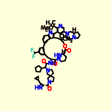 CCn1c(-c2cc(N3CCN4CCC[C@@H]4C3)cnc2[C@H](C)OC)c2c3cc(ccc31)-c1cc(cc(C(F)F)c1)C[C@H](NC(=O)C(C1CCCC1)N1CC[C@]3(CCN(C(=O)[C@@H]4NC4C4CC4)C3)C1)C(=O)N1CCC[C@H](N1)C(=O)OCC(C)(C)C2